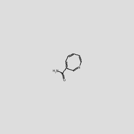 NC(=O)C1=CC=CC=CN=C1